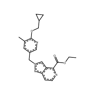 CCOC(=O)c1nccc2nn(Cc3cnc(OCC4CC4)c(C)c3)cc12